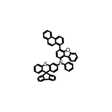 c1ccc(N(c2ccc3c(c2)Sc2ccccc2C32c3ccccc3-c3ccccc32)c2ccc(-c3cccc4c3ccc3ccccc34)c3oc4ccccc4c23)cc1